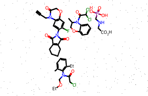 C#CCN1C(=O)COc2cc(F)c(N3C(=O)C4=C(CCCC4)C3=O)cc21.CC1COc2ccccc2N1C(=O)C(Cl)Cl.CCOCN(C(=O)CCl)c1c(C)cccc1CC.O=C(O)CNCP(=O)(O)O